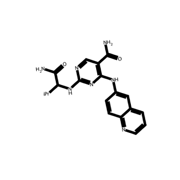 CC(C)C(Nc1ncc(C(N)=O)c(Nc2ccc3ncccc3c2)n1)C(N)=O